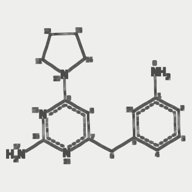 Nc1cccc(Cc2cc(N3CCCC3)nc(N)n2)c1